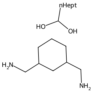 CCCCCCCC(O)O.NCC1CCCC(CN)C1